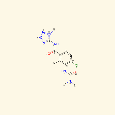 Cc1c(C(=O)Nc2nnnn2C)ccc(Cl)c1NC(=O)N(C)C